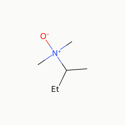 CCC(C)[N+](C)(C)[O-]